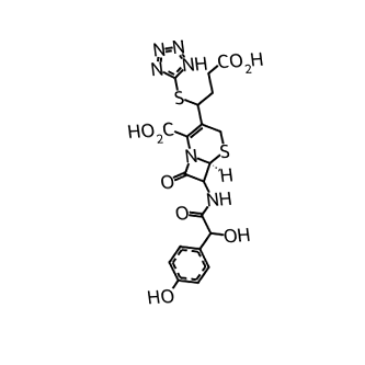 O=C(O)CCC(Sc1nnn[nH]1)C1=C(C(=O)O)N2C(=O)C(NC(=O)C(O)c3ccc(O)cc3)[C@@H]2SC1